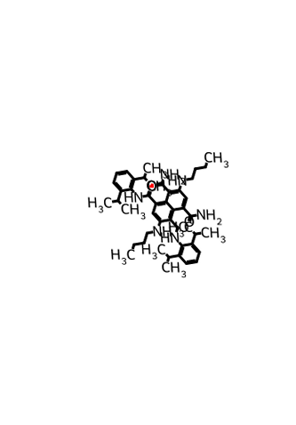 CCCCNc1cc(C(N)=O)c2c(C(=O)Nc3c(C(C)C)cccc3C(C)C)c(NCCCC)cc(C(=O)Nc3c(C(C)C)cccc3C(C)C)c2c1C(N)=O